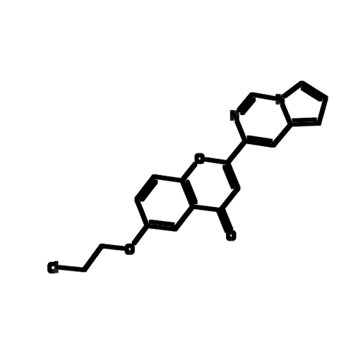 O=c1cc(-c2cc3cccn3cn2)oc2ccc(OCCCl)cc12